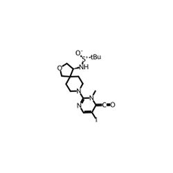 CN1C(=C=O)C(I)=CN=C1N1CCC2(CC1)COC[C@H]2N[S@+]([O-])C(C)(C)C